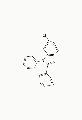 Clc1ccc2nc(-c3ccccc3)n(-c3ccccc3)c2c1